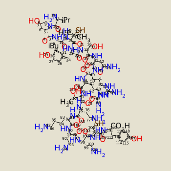 CC[C@H](C)[C@H](NC(=O)[C@@H]1C[C@@H](O)CN1C(=O)[C@@H](N)C(C)C)C(=O)N[C@H](C(=O)N[C@@H](Cc1ccc(O)cc1)C(=O)N[C@@H](CO)C(=O)N[C@@H](CC(N)=O)C(=O)N[C@@H](CCCNC(=N)N)C(=O)N[C@@H](CCCNC(N)=O)C(=O)N[C@H](C(=O)N[C@H](CCN)C(=O)N[C@@H](CCCCN)C(=O)N[C@@H](CCN)C(=O)N[C@@H](CCN)C(=O)N[C@@H](CS)C(=O)N[C@@H](Cc1ccc(O)cc1)C(=O)O)[C@@H](C)O)C(C)(C)S